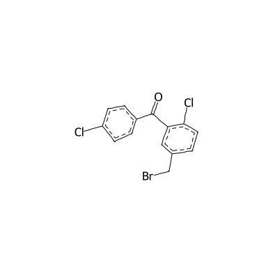 O=C(c1ccc(Cl)cc1)c1cc(CBr)ccc1Cl